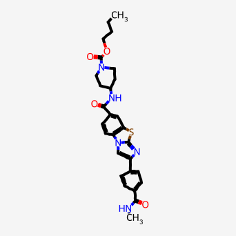 CCCCOC(=O)N1CCC(NC(=O)c2ccc3c(c2)sc2nc(-c4ccc(C(=O)NC)cc4)cn23)CC1